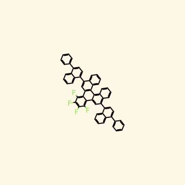 Fc1c(F)c(F)c2c3cc(-c4ccc(-c5ccccc5)c5ccccc45)c4ccccc4c3c3c4ccccc4c(-c4ccc(-c5ccccc5)c5ccccc45)cc3c2c1F